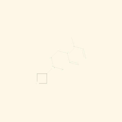 Cc1cccc2c1CCN(C1COC1)C2